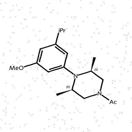 COc1cc(C(C)C)cc(N2[C@H](C)CN(C(C)=O)C[C@@H]2C)c1